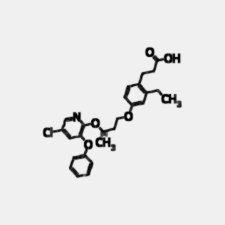 CCc1cc(OCC[C@H](C)Oc2ncc(Cl)cc2Oc2ccccc2)ccc1CCC(=O)O